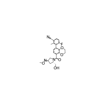 CO/N=C1\C[C@@H](CO)N(C(=O)c2ccc(-c3c(F)ccc(C#N)c3C)c3c2OCCO3)C1